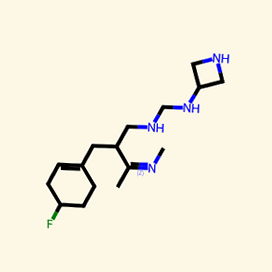 C/N=C(/C)C(CNCNC1CNC1)CC1=CCC(F)CC1